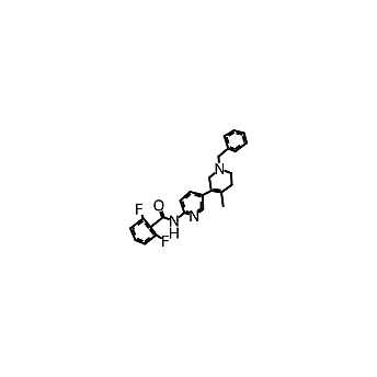 CC1=C(c2ccc(NC(=O)c3c(F)cccc3F)nc2)CN(Cc2ccccc2)CC1